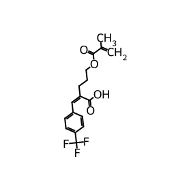 C=C(C)C(=O)OCCCC(=Cc1ccc(C(F)(F)F)cc1)C(=O)O